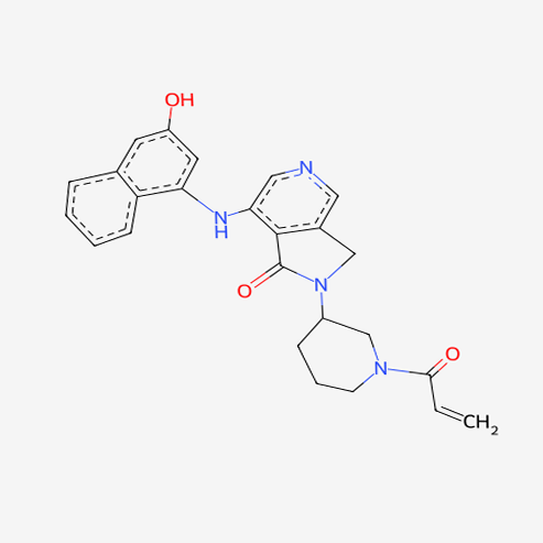 C=CC(=O)N1CCCC(N2Cc3cncc(Nc4cc(O)cc5ccccc45)c3C2=O)C1